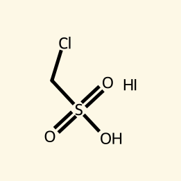 I.O=S(=O)(O)CCl